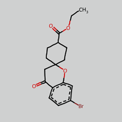 CCOC(=O)C1CCC2(CC1)CC(=O)c1ccc(Br)cc1O2